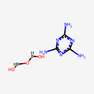 Nc1nc(N)nc(N)n1.OBOBO